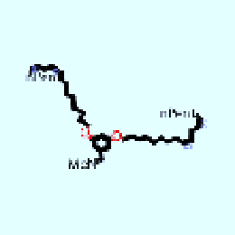 CCCCC/C=C\C/C=C\CCCCCCCCOc1cc(CNC)cc(OCCCCCCCC/C=C\C/C=C\CCCCC)c1